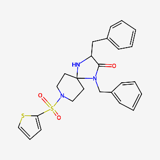 O=C1C(Cc2ccccc2)NC2(CCN(S(=O)(=O)c3cccs3)CC2)N1Cc1ccccc1